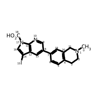 CN1CCc2ccc(-c3cnc4c(c3)c(I)cn4C(=O)O)cc2C1